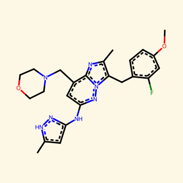 COc1ccc(Cc2c(C)nc3c(CN4CCOCC4)cc(Nc4cc(C)[nH]n4)nn23)c(F)c1